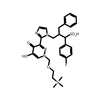 C[Si](C)(C)CCOCn1cc(O)c(=O)c(-c2nccn2CC(Cc2ccccc2)C(c2ccc(F)cc2)S(=O)(=O)O)n1